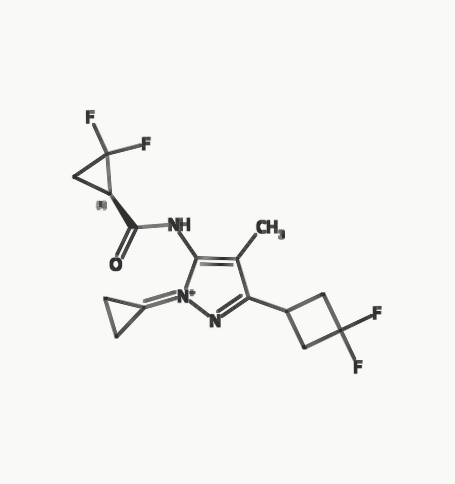 CC1=C(NC(=O)[C@H]2CC2(F)F)[N+](=C2CC2)N=C1C1CC(F)(F)C1